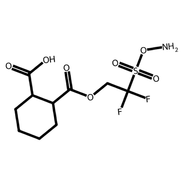 NOS(=O)(=O)C(F)(F)COC(=O)C1CCCCC1C(=O)O